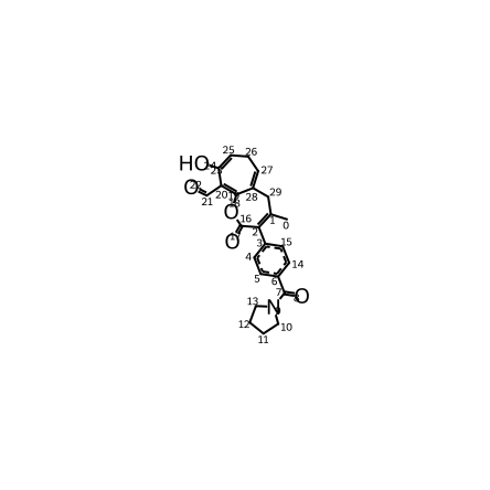 CC1=C(c2ccc(C(=O)N3CCCC3)cc2)C(=O)OC2=C(C=O)C(O)=CCC=C2C1